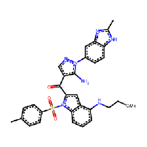 COCCNc1cccc2c1cc(C(=O)c1cnn(-c3ccc4[nH]c(C)nc4c3)c1N)n2S(=O)(=O)c1ccc(C)cc1